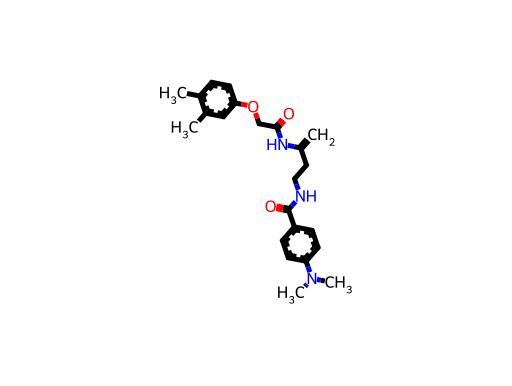 C=C(CCNC(=O)c1ccc(N(C)C)cc1)NC(=O)COc1ccc(C)c(C)c1